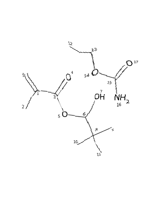 C=C(C)C(=O)OC(O)C(C)(C)C.CCOC(N)=O